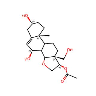 CC(=O)O[C@H]1COC2C3C(CC[C@@]21CO)[C@@]1(C)CC[C@H](O)CC1=C[C@@H]3O